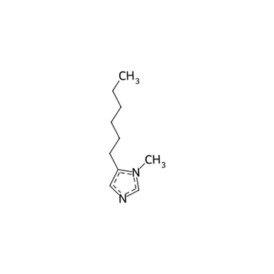 CCCCCCc1cncn1C